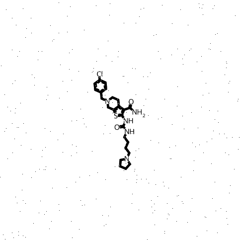 NC(=O)c1c(NC(=O)NCCCCN2CCCC2)sc2c1CCN(Cc1ccc(Cl)cc1)C2